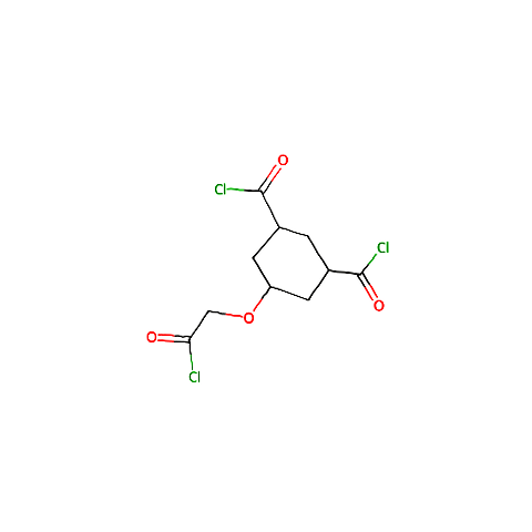 O=C(Cl)COC1CC(C(=O)Cl)CC(C(=O)Cl)C1